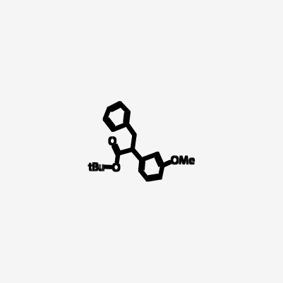 COc1cccc(C(Cc2ccccc2)C(=O)OC(C)(C)C)c1